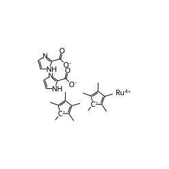 Cc1c(C)c(C)[c-](C)c1C.Cc1c(C)c(C)[c-](C)c1C.O=C([O-])c1ncc[nH]1.O=C([O-])c1ncc[nH]1.[Ru+4]